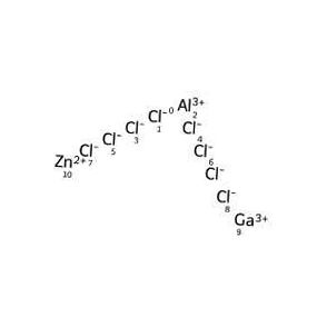 [Al+3].[Cl-].[Cl-].[Cl-].[Cl-].[Cl-].[Cl-].[Cl-].[Cl-].[Ga+3].[Zn+2]